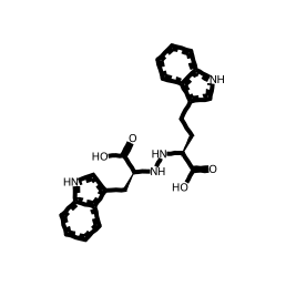 O=C(O)[C@H](CCc1c[nH]c2ccccc12)NN[C@@H](Cc1c[nH]c2ccccc12)C(=O)O